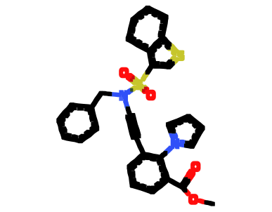 COC(=O)c1cccc(C#CN(Cc2ccccc2)S(=O)(=O)c2csc3ccccc23)c1-n1cccc1